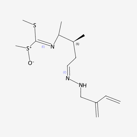 C=CC(=C)CN/N=C\C[C@H](C)C(C)/N=C(\SC)[S+](C)[O-]